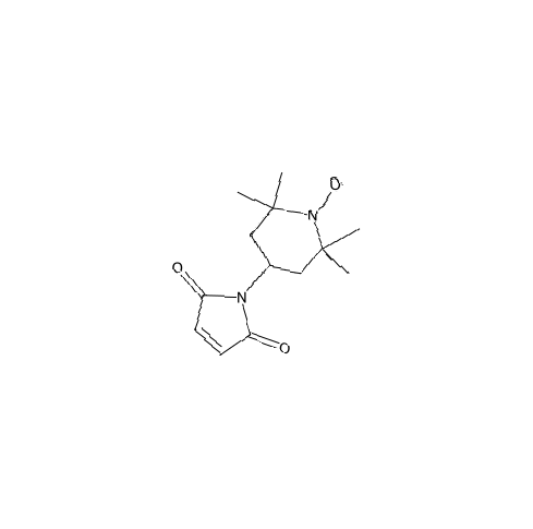 CC1(C)CC(N2C(=O)C=CC2=O)CC(C)(C)N1[O]